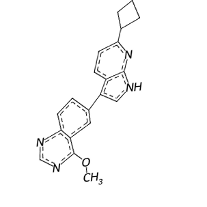 COc1ncnc2ccc(-c3c[nH]c4nc(C5CCC5)ccc34)cc12